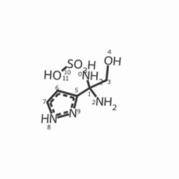 NC(N)(CO)c1cc[nH]n1.O=S(=O)(O)O